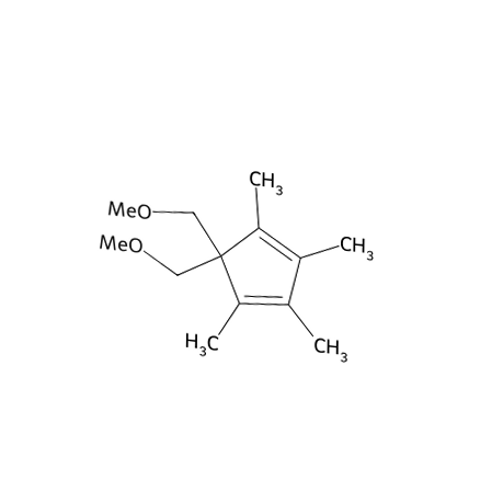 COCC1(COC)C(C)=C(C)C(C)=C1C